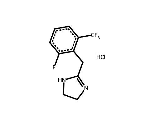 Cl.Fc1cccc(C(F)(F)F)c1CC1=NCCN1